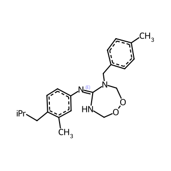 Cc1ccc(CN2COOCN/C2=N\c2ccc(CC(C)C)c(C)c2)cc1